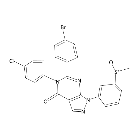 C[S+]([O-])c1cccc(-n2ncc3c(=O)n(-c4ccc(Cl)cc4)c(-c4ccc(Br)cc4)nc32)c1